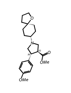 COC(=O)[C@@H]1CN([C@H]2CC[C@@]3(CCCO3)CC2)C[C@H]1c1ccc(OC)cc1